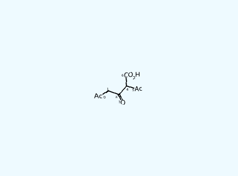 CC(=O)CC(=O)C(C(C)=O)C(=O)O